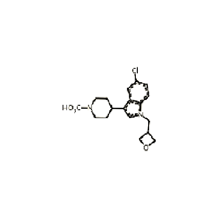 O=C(O)N1CCC(c2cn(CC3COC3)c3ccc(Cl)cc23)CC1